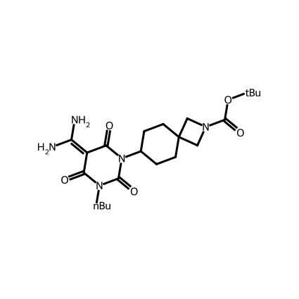 CCCCN1C(=O)C(=C(N)N)C(=O)N(C2CCC3(CC2)CN(C(=O)OC(C)(C)C)C3)C1=O